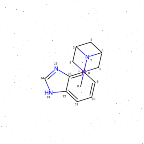 CN1CC2CC(C1)N2c1cccc2[nH]cnc12